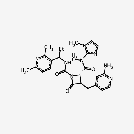 CCC(NC(=O)N1C(=O)[C@H](Cc2ccnc(N)c2)[C@H]1C(=O)N(C)c1nccn1C)c1ccc(C)nc1C